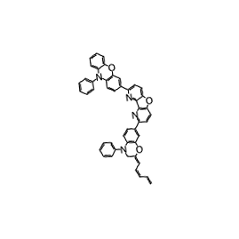 C=C/C=C\C=C1/CN(c2ccccc2)c2ccc(-c3ccc4oc5ccc(-c6ccc7c(c6)Oc6ccccc6N7c6ccccc6)nc5c4n3)cc2O1